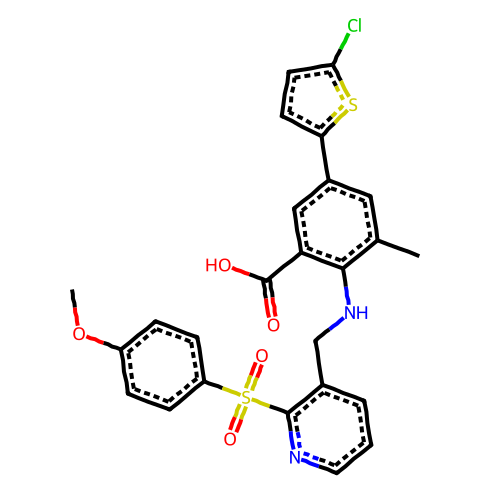 COc1ccc(S(=O)(=O)c2ncccc2CNc2c(C)cc(-c3ccc(Cl)s3)cc2C(=O)O)cc1